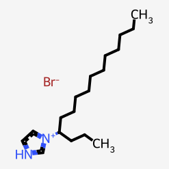 CCCCCCCCCCCC(CCC)[n+]1cc[nH]c1.[Br-]